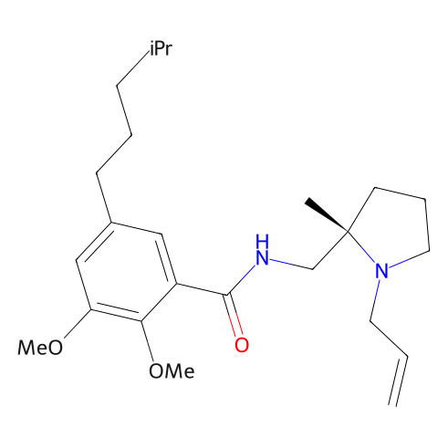 C=CCN1CCC[C@@]1(C)CNC(=O)c1cc(CCCC(C)C)cc(OC)c1OC